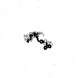 CC(OC(=O)N1CCC(CC#Cc2nc(N)c3ncn([C@@H]4O[C@H](C(=O)NC5CC5)C(O)[C@@H]4O)c3n2)CC1)C1c2ccccc2-c2ccccc21